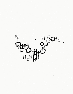 CN(C)C/C=C/C(=O)N1CCCC(n2nc(-c3ccc(C(=O)Nc4cc(C#N)ccn4)cc3)c3c(N)ncnc32)C1